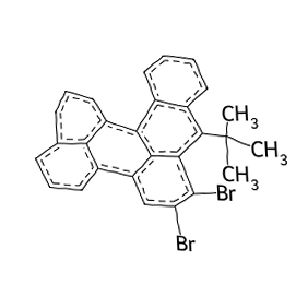 CC(C)(C)c1c2ccccc2c2c3cccc4cccc(c5cc(Br)c(Br)c1c52)c43